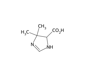 CC1(C)N=CNC1C(=O)O